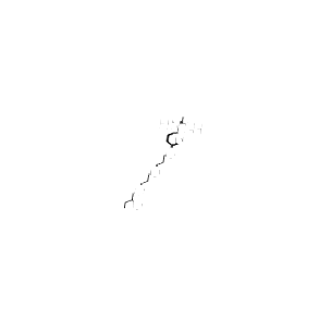 CCC(=O)COCCCOCCCOc1ccc(NC(C)S)nc1